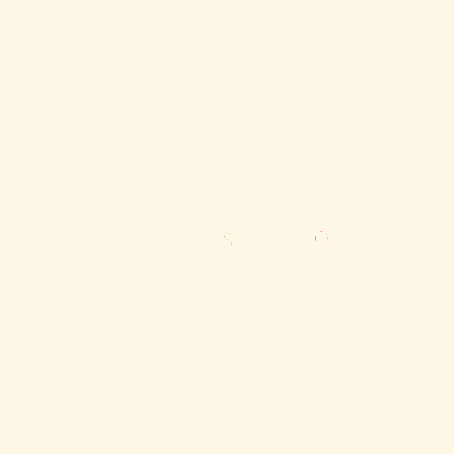 CCCC(=O)SCCC(C)(C)C